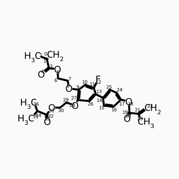 C=C(C)C(=O)OCCOc1cc(F)c(-c2ccc(OC(=O)C(=C)C)cc2)cc1OCCOC(=O)C(C)C